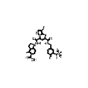 Cc1c(C(=O)O)ccc2c1CC[C@@H]2NC(=O)c1cc(C(=O)NCc2ccc(F)c(NS(C)(=O)=O)c2)nc2c(F)cnn12